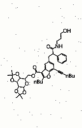 CCCCC#Cc1cc(CC(C(=O)NCCCO)c2ccccc2)cc2c(C(=O)OCC3OC4OC(C)(C)OC4C4OC(C)(C)OC34)c(CCCC)oc12